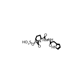 O=C(Cc1ccc[nH]1)NNC(=O)[C@@H]1CCC2CN1C(=O)N2OS(=O)(=O)O